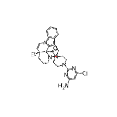 CC[C@]12C=Cn3c4c(c5ccccc53)CCN(CCC1)[C@@]42C(=O)N1CCN(c2nc(N)cc(Cl)n2)CC1